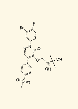 CC(C)(O)[C@H](O)COc1c(-c2ccc(S(C)(=O)=O)cc2)cnn(-c2ccc(F)c(Br)c2)c1=O